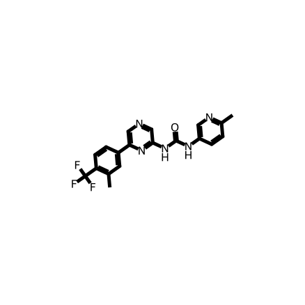 Cc1ccc(NC(=O)Nc2cncc(-c3ccc(C(F)(F)F)c(C)c3)n2)cn1